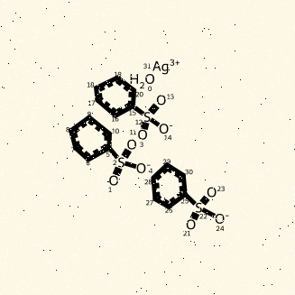 O.O=S(=O)([O-])c1ccccc1.O=S(=O)([O-])c1ccccc1.O=S(=O)([O-])c1ccccc1.[Ag+3]